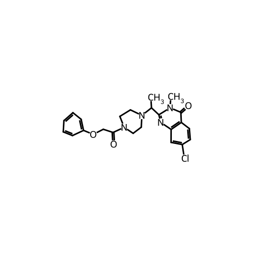 CC(c1nc2cc(Cl)ccc2c(=O)n1C)N1CCN(C(=O)COc2ccccc2)CC1